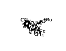 CCc1nc2c(c(=O)n(Cc3ccc(Cl)cc3)c(=O)n2CCCOC(C)(C)C)n1C